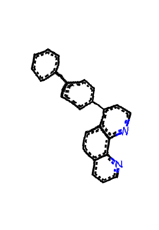 c1ccc(-c2ccc(-c3ccnc4c3ccc3cccnc34)cc2)cc1